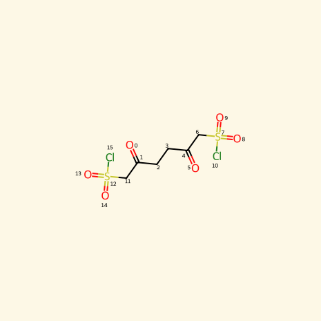 O=C(CCC(=O)CS(=O)(=O)Cl)CS(=O)(=O)Cl